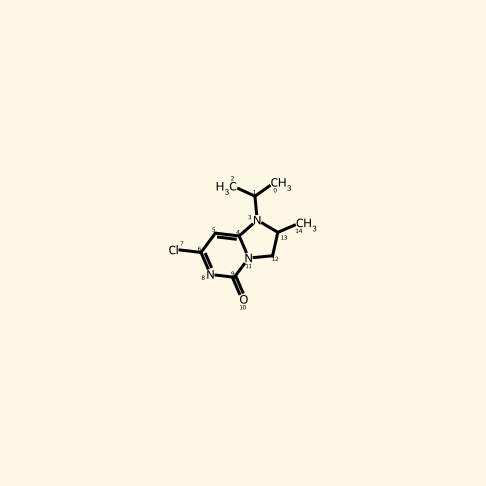 CC(C)N1c2cc(Cl)nc(=O)n2CC1C